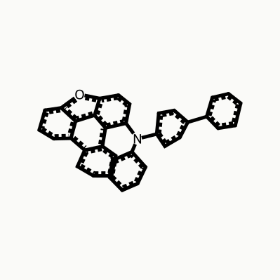 c1ccc(-c2ccc(N(c3ccccc3)c3ccc4oc5cccc6c7ccccc7c3c4c56)cc2)cc1